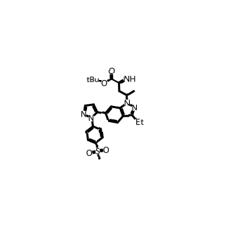 CCc1nn(C(C)CC(=N)C(=O)OC(C)(C)C)c2cc(-c3ccnn3-c3ccc(S(C)(=O)=O)cc3)ccc12